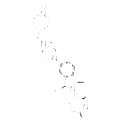 O=C1CCC(N2C(=O)c3ccc(N4CC5CC4CN5CC4CCNCC4)cc3C2=O)C(=O)N1